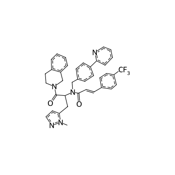 Cn1nccc1CC(C(=O)N1CCc2ccccc2C1)N(Cc1ccc(-c2ccccn2)cc1)C(=O)C=Cc1ccc(C(F)(F)F)cc1